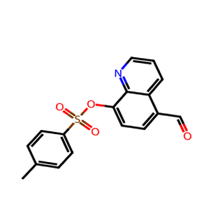 Cc1ccc(S(=O)(=O)Oc2ccc(C=O)c3cccnc23)cc1